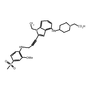 COc1cc(S(C)(=O)=O)ccc1NCC#Cc1cc2c(NC3CCN(CC(=O)O)CC3)cccc2n1CC(F)(F)F